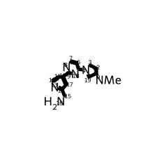 CN[C@@H]1CCN(c2ccnc(-c3ccnc(CN)c3)n2)C1